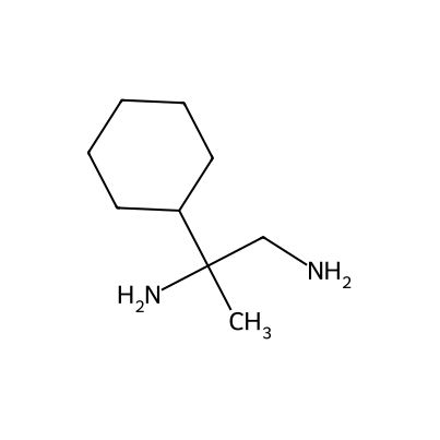 CC(N)(CN)C1CCCCC1